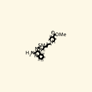 COC(=O)C1CCN(CCCCCn2c(SC)nc3c(N)nc4ccccc4c32)CC1